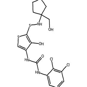 O=C(Nc1csc(SNC2(CO)CCCC2)c1O)Nc1cccc(Cl)c1Cl